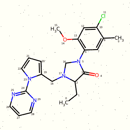 CCC1C(=O)N(c2cc(C)c(Cl)cc2OC)CN1Cc1cccn1-c1ncccn1